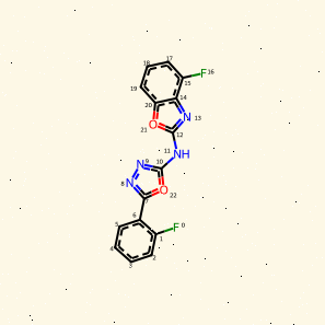 Fc1ccccc1-c1nnc(Nc2nc3c(F)cccc3o2)o1